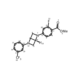 COC(=O)c1ccc(N2CC3[C@H]2CN3c2cccc(C(F)(F)F)c2)cc1F